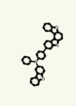 c1ccc(N(c2ccc(-c3ccc4c(c3)sc3ccc5oc6ccccc6c5c34)cc2)c2ccc3oc4ccccc4c3c2)cc1